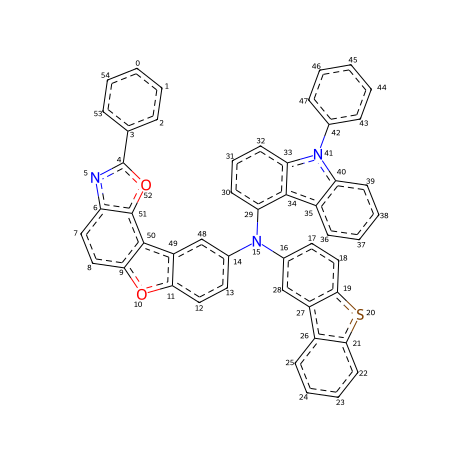 c1ccc(-c2nc3ccc4oc5ccc(N(c6ccc7sc8ccccc8c7c6)c6cccc7c6c6ccccc6n7-c6ccccc6)cc5c4c3o2)cc1